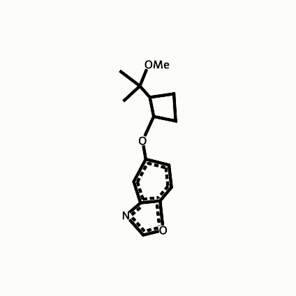 COC(C)(C)C1CCC1Oc1ccc2ocnc2c1